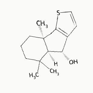 CC1(C)CCC[C@@]2(C)c3sccc3[C@H](O)[C@@H]12